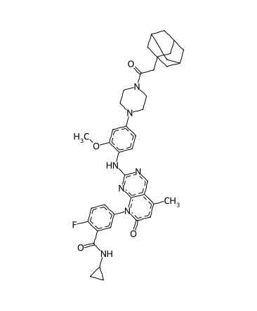 COc1cc(N2CCN(C(=O)CC34CC5CC(CC(C5)C3)C4)CC2)ccc1Nc1ncc2c(C)cc(=O)n(-c3ccc(F)c(C(=O)NC4CC4)c3)c2n1